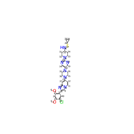 COc1cc(OC)c(-c2cn3ccc(N4CCN(c5cnc(N6CCC(NSC7CC7)CC6)nc5)CC4)cc3n2)cc1Cl